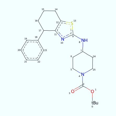 CC(C)(C)OC(=O)N1CCC(Nc2nc3c(s2)CCCC3c2ccccc2)CC1